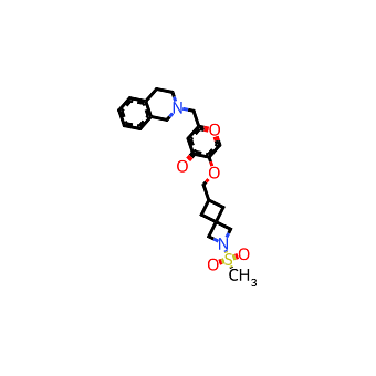 CS(=O)(=O)N1CC2(CC(COc3coc(CN4CCc5ccccc5C4)cc3=O)C2)C1